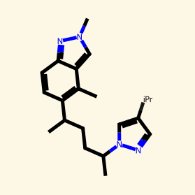 Cc1c(C(C)CCC(C)n2cc(C(C)C)cn2)ccc2nn(C)cc12